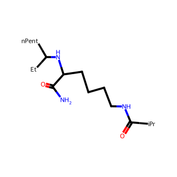 CCCCCC(CC)NC(CCCCNC(=O)C(C)C)C(N)=O